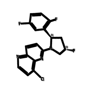 Fc1ccc(F)c([C@H]2C[C@H](F)CN2c2ccc3nccc(Cl)c3n2)c1